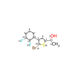 CC(O)c1cc(-c2cccc(F)c2F)c(Br)s1